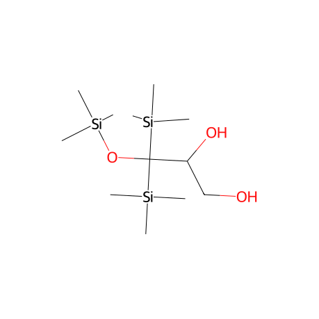 C[Si](C)(C)OC(C(O)CO)([Si](C)(C)C)[Si](C)(C)C